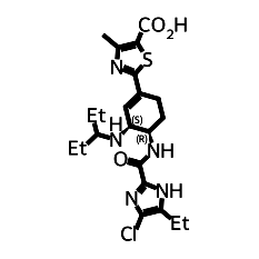 CCc1[nH]c(C(=O)N[C@@H]2CCC(c3nc(C)c(C(=O)O)s3)=C[C@@H]2NC(CC)CC)nc1Cl